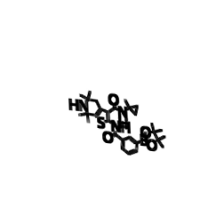 CC1(C)Cc2c(sc(NC(=O)c3cccc(B4OC(C)(C)C(C)(C)O4)c3)c2C(=O)NC2(C)CC2)C(C)(C)N1